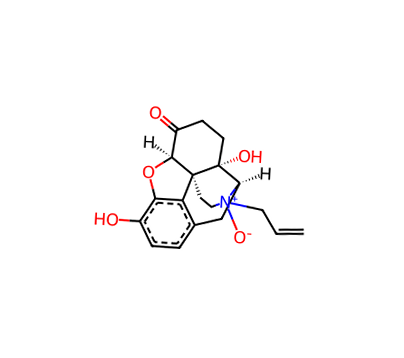 C=CC[N+]1([O-])CC[C@]23c4c5ccc(O)c4O[C@H]2C(=O)CC[C@@]3(O)[C@H]1C5